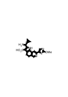 COc1ncc(-c2cc3c(cn2)CCc2c-3[nH]c(C(N)C3CC3)c2C(=O)O)s1